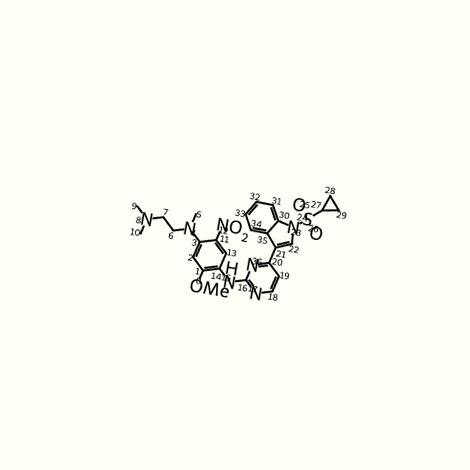 COc1cc(N(C)CCN(C)C)c([N+](=O)[O-])cc1Nc1nccc(-c2cn(S(=O)(=O)C3CC3)c3ccccc23)n1